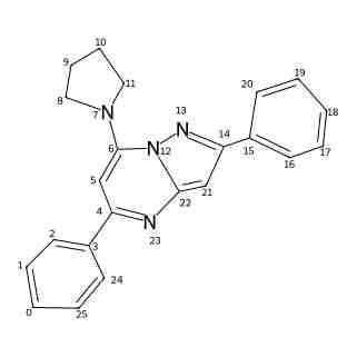 c1ccc(-c2cc(N3CCCC3)n3nc(-c4ccccc4)cc3n2)cc1